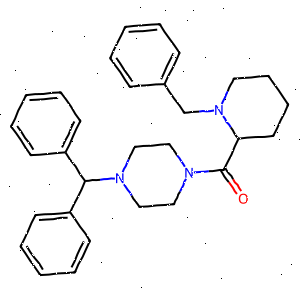 O=C(C1CCCCN1Cc1ccccc1)N1CCN(C(c2ccccc2)c2ccccc2)CC1